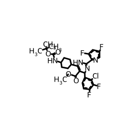 COC(=O)C1=C(C2CCC(NC(=O)OC(C)(C)C)CC2)NC(c2ncc(F)cc2F)=NC1c1ccc(F)c(F)c1Cl